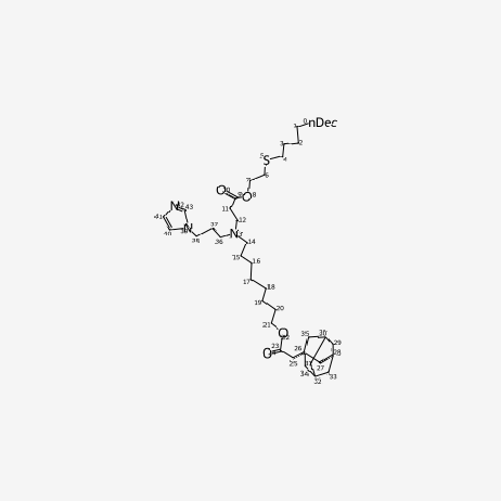 CCCCCCCCCCCCCCSCCOC(=O)CCN(CCCCCCCCOC(=O)CC12CC3CC(CC(C3)C1)C2)CCCn1ccnc1